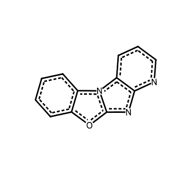 c1ccc2c(c1)oc1nc3ncccc3n12